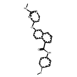 CNc1nccc(Oc2ccc3c(C(=O)Nc4ccc(OC)cc4)cccc3c2)n1